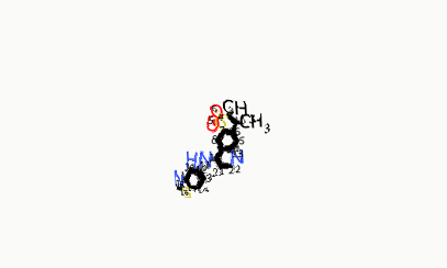 CC1=C(C)S(=O)(=O)c2cc3c(Nc4ccc5scnc5c4)ccnc3cc21